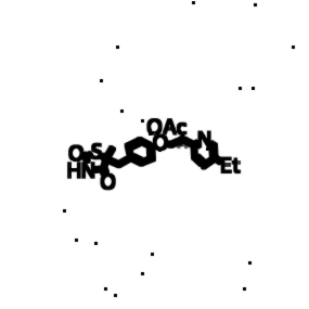 CCc1ccc([C@H](COc2ccc(CC3(C)SC(=O)NC3=O)cc2)OC(C)=O)nc1